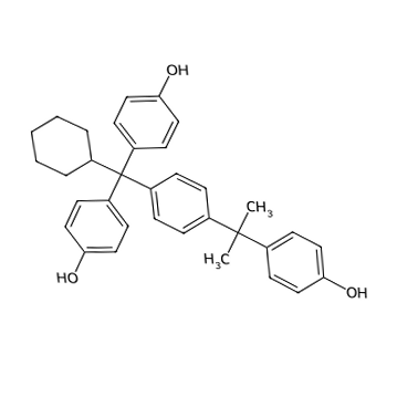 CC(C)(c1ccc(O)cc1)c1ccc(C(c2ccc(O)cc2)(c2ccc(O)cc2)C2CCCCC2)cc1